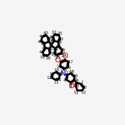 C1=Cc2c(oc3cc(N(c4ccccc4)c4ccc5c(c4)Oc4cc6c(cc4O5)-c4ccccc4C64c5ccccc5-c5ccccc54)ccc23)CC1